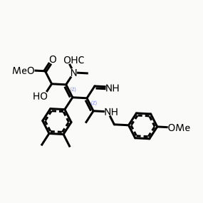 COC(=O)C(O)/C(=C(/C(C=N)=C(\C)NCc1ccc(OC)cc1)c1ccc(C)c(C)c1)N(C)C=O